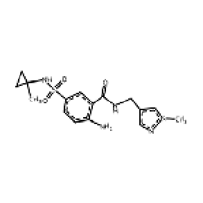 Cn1cc(CNC(=O)c2cc(S(=O)(=O)NC3(C)CC3)ccc2N)cn1